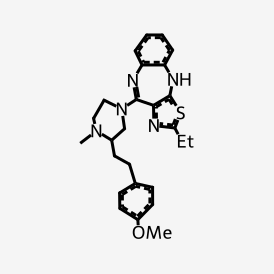 CCc1nc2c(s1)Nc1ccccc1N=C2N1CCN(C)C(CCc2ccc(OC)cc2)C1